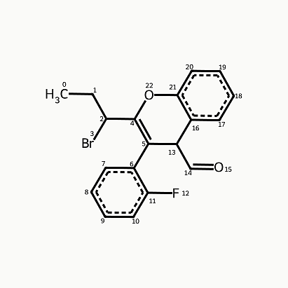 CCC(Br)C1=C(c2ccccc2F)C(C=O)c2ccccc2O1